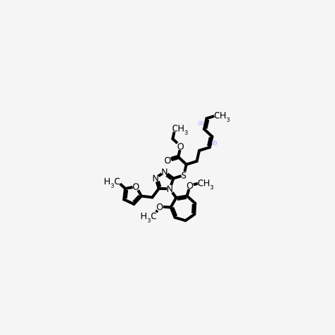 C/C=C\C=C/CCC(Sc1nnc(Cc2ccc(C)o2)n1C1=C(OC)C=CCC=C1OC)C(=O)OCC